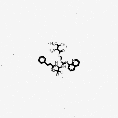 CC(C)[C@H](N)C(=O)OCS/C(=N/c1cccc2cccnc12)NC(NC(=O)/C=C/c1ccccc1)C(Cl)(Cl)Cl